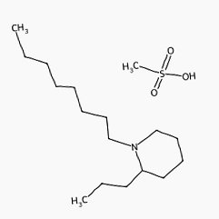 CCCCCCCCN1CCCCC1CCC.CS(=O)(=O)O